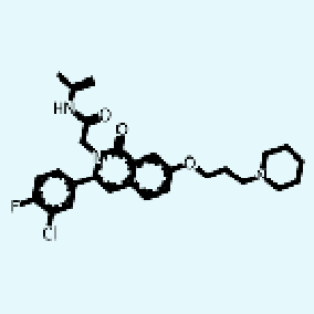 C=C(C)NC(=O)Cn1c(-c2ccc(F)c(Cl)c2)cc2ccc(OCCCN3CCCCC3)cc2c1=O